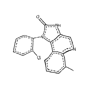 Cc1cccc2c1ncc1[nH]c(=O)n(-c3ccccc3Cl)c12